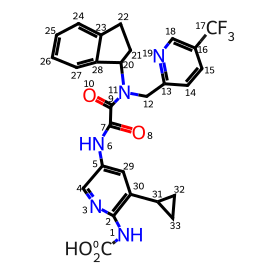 O=C(O)Nc1ncc(NC(=O)C(=O)N(Cc2ccc(C(F)(F)F)cn2)C2CCc3ccccc32)cc1C1CC1